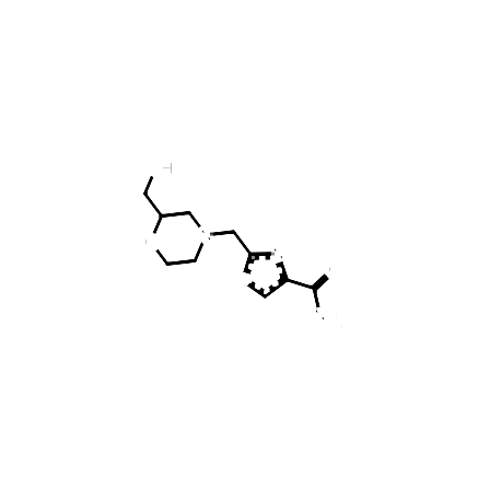 CCC1CN(Cc2nc(C(N)=O)cs2)CCO1